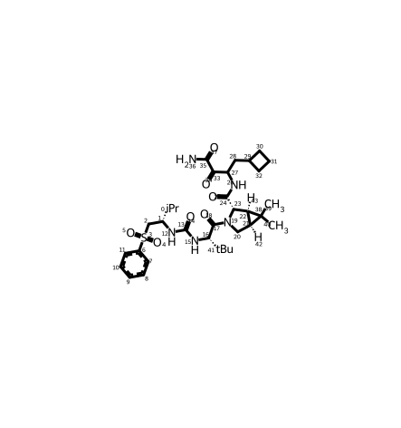 CC(C)[C@@H](CS(=O)(=O)c1ccccc1)NC(=O)N[C@H](C(=O)N1C[C@H]2[C@@H]([C@H]1C(=O)NC(CC1CCC1)C(=O)C(N)=O)C2(C)C)C(C)(C)C